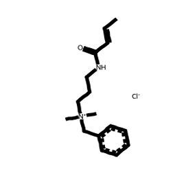 CC=CC(=O)NCCC[N+](C)(C)Cc1ccccc1.[Cl-]